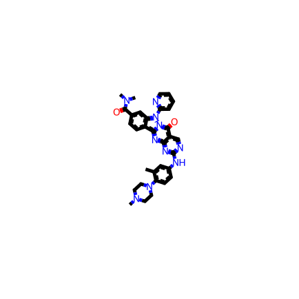 Cc1cc(Nc2ncc3c(=O)n4c(nc3n2)c2ccc(C(=O)N(C)C)cc2n4-c2ccccn2)ccc1N1CCN(C)CC1